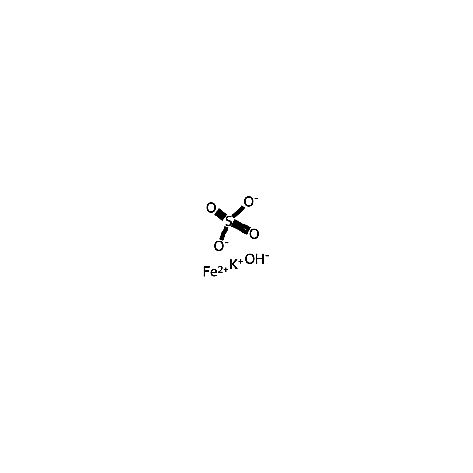 O=S(=O)([O-])[O-].[Fe+2].[K+].[OH-]